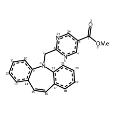 COC(=O)c1cnc(CN2c3ccccc3C=Cc3ccccc32)nc1